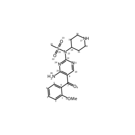 COc1ccccc1C(=O)c1cnc(N(C2CCNCC2)S(C)(=O)=O)nc1N